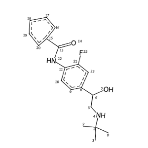 CC(C)(C)NCC(O)c1ccc(NC(=O)c2ccccc2)c(F)c1